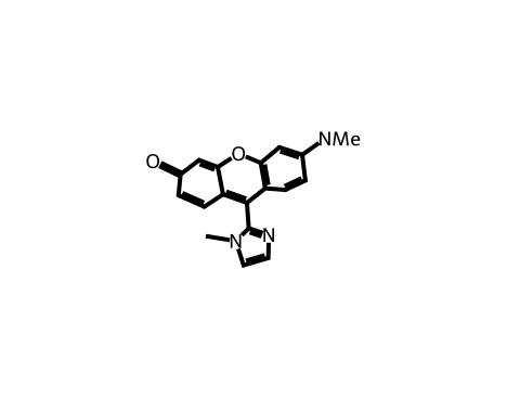 CNc1ccc2c(-c3nccn3C)c3ccc(=O)cc-3oc2c1